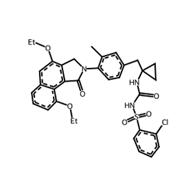 CCOc1cc2cccc(OCC)c2c2c1CN(c1ccc(CC3(NC(=O)NS(=O)(=O)c4ccccc4Cl)CC3)cc1C)C2=O